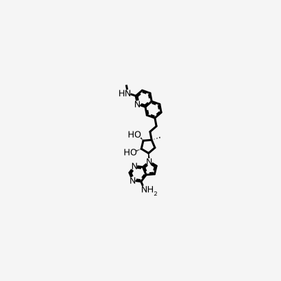 CNc1ccc2ccc(CC[C@@]3(C)C[C@@H](n4ccc5c(N)ncnc54)[C@H](O)[C@@H]3O)cc2n1